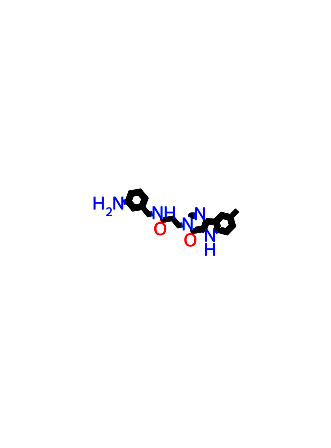 Cc1ccc2[nH]c3c(=O)n(CCC(=O)NCc4cccc(N)c4)cnc3c2c1